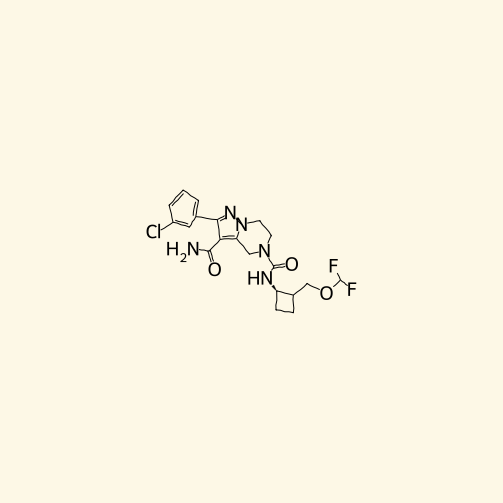 NC(=O)c1c(-c2cccc(Cl)c2)nn2c1CN(C(=O)N[C@@H]1CCC1COC(F)F)CC2